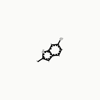 Cc1cc2[c]cc(Cl)cc2o1